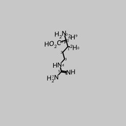 [2H]C(CCNC(=N)N)[C@]([2H])(N)C(=O)O